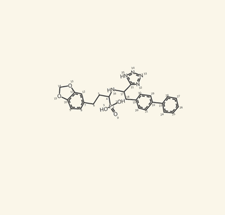 O=P(O)(O)C(CCc1ccc2c(c1)OCO2)NC(Cc1ccc(-c2ccccc2)cc1)c1nnn[nH]1